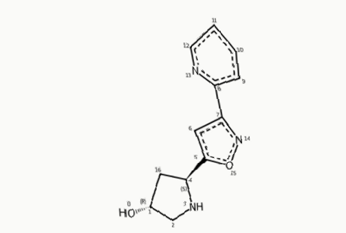 O[C@H]1CN[C@H](c2cc(-c3ccccn3)no2)C1